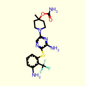 CC1(OC(N)=O)CCN(c2cnc(Sc3cccc(N)c3C(F)(F)F)c(N)n2)CC1